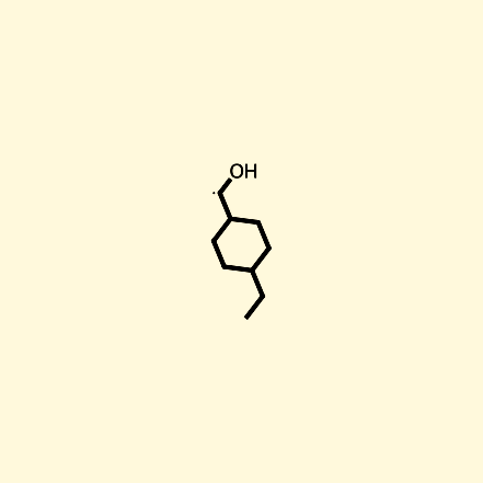 CCC1CCC([CH]O)CC1